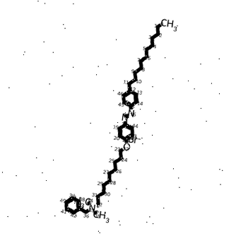 CCCCCCCCCCCCc1ccc(/N=N/c2ccc(OCCCCCCCCCC[N+](C)(C)Cc3ccccc3)cc2)cc1.[Br-]